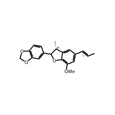 C/C=C/c1cc(OC)c2c(c1)[C@@H](C)C(c1ccc3c(c1)OCO3)O2